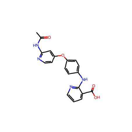 CC(=O)Nc1cc(Oc2ccc(Nc3ncccc3C(=O)O)cc2)ccn1